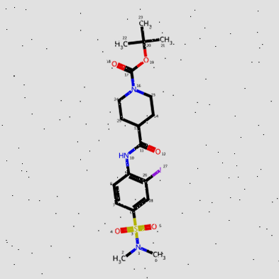 CN(C)S(=O)(=O)c1ccc(NC(=O)C2CCN(C(=O)OC(C)(C)C)CC2)c(I)c1